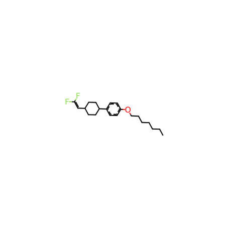 CCCCCCCOc1ccc(C2CCC(C=C(F)F)CC2)cc1